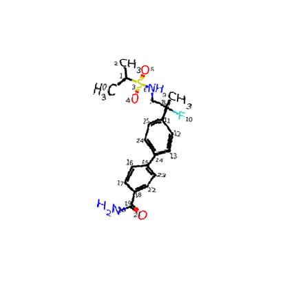 CC(C)S(=O)(=O)NCC(C)(F)c1ccc(-c2ccc(C(N)=O)cc2)cc1